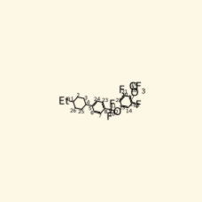 CCC1CCC(c2ccc(C(F)(F)Oc3cc(F)c(OC(F)(F)F)c(F)c3)cc2)CC1